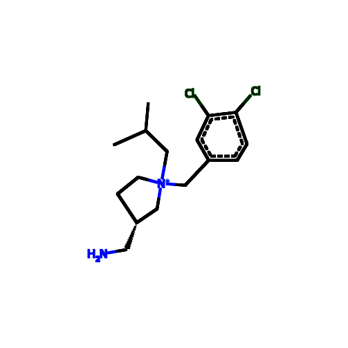 CC(C)C[N+]1(Cc2ccc(Cl)c(Cl)c2)CC[C@@H](CN)C1